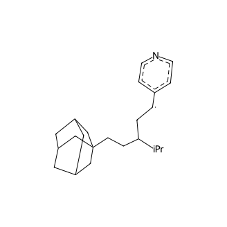 CC(C)C(C[CH]c1ccncc1)CCC12CC3CC(CC(C3)C1)C2